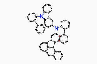 c1ccc(-c2ccccc2N(c2ccc3c(c2)-c2cccc4cc5ccccc5c-3c24)c2ccc3c(c2)c2ccccc2n3-c2ccccc2-c2ccccc2)cc1